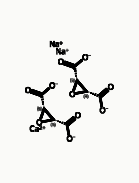 O=C([O-])[C@H]1O[C@H]1C(=O)[O-].O=C([O-])[C@H]1O[C@H]1C(=O)[O-].[Ca+2].[Na+].[Na+]